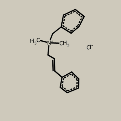 C[N+](C)(CC=Cc1ccccc1)Cc1ccccc1.[Cl-]